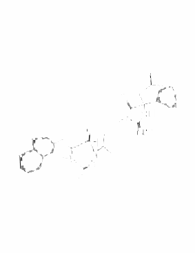 CC(C)CC1(c2ccccc2)NC(=N)N(CCCC(C)NC(=O)C(Cc2ccc3ccccc3c2)NC(=O)O)C1=O